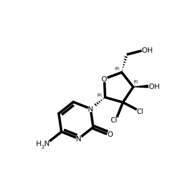 Nc1ccn([C@@H]2O[C@H](CO)[C@@H](O)C2(Cl)Cl)c(=O)n1